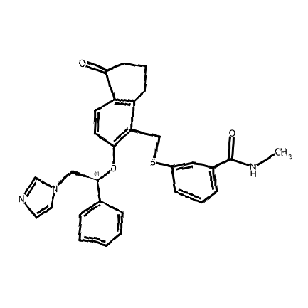 CNC(=O)c1cccc(SCc2c(O[C@H](Cn3ccnc3)c3ccccc3)ccc3c2CCCC3=O)c1